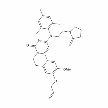 C=CCOc1cc2c(cc1OC)-c1cc(N(CCN3CCCC3=O)c3c(C)cc(C)cc3C)nc(=O)n1CC2